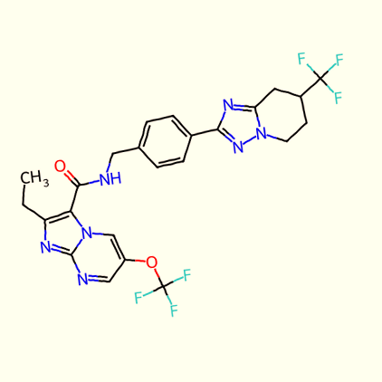 CCc1nc2ncc(OC(F)(F)F)cn2c1C(=O)NCc1ccc(-c2nc3n(n2)CCC(C(F)(F)F)C3)cc1